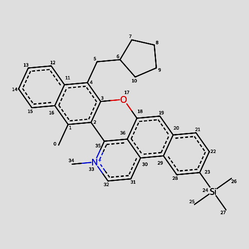 Cc1c2c(c(CC3CCCC3)c3ccccc13)Oc1cc3ccc([Si](C)(C)C)cc3c3cc[n+](C)c-2c13